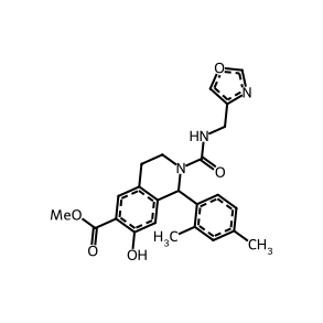 COC(=O)c1cc2c(cc1O)C(c1ccc(C)cc1C)N(C(=O)NCc1cocn1)CC2